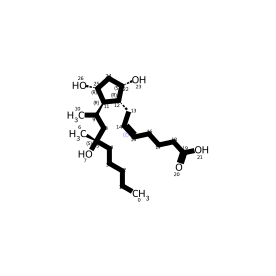 CCCCC[C@](C)(O)CC(C)[C@@H]1[C@@H](C/C=C\CCCC(=O)O)[C@@H](O)C[C@H]1O